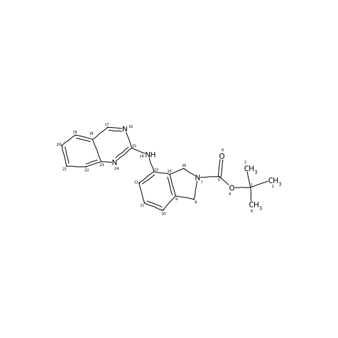 CC(C)(C)OC(=O)N1Cc2cccc(Nc3ncc4ccccc4n3)c2C1